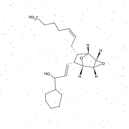 O=C(O)CCC/C=C\C[C@H]1[C@@H](/C=C/C(O)C2CCCCC2)[C@@H]2O[C@H]1[C@@H]1O[C@@H]12